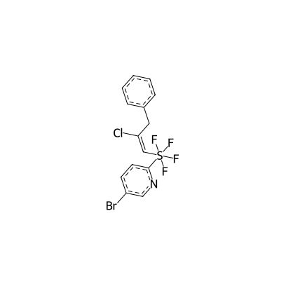 FS(F)(F)(F)(/C=C(/Cl)Cc1ccccc1)c1ccc(Br)cn1